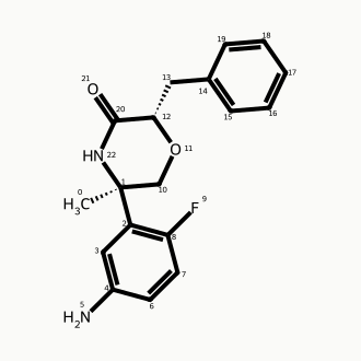 C[C@@]1(c2cc(N)ccc2F)CO[C@@H](Cc2ccccc2)C(=O)N1